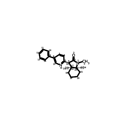 CN1C(=O)[C@H](c2ccc(-c3ccccc3)cn2)[C@@H]2CCCC[C@@H]21